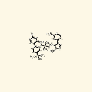 Cn1ncc(-c2nccc(N)n2)c1OCC(C)(C)CNc1cc(Cl)ncc1-c1ccc(C(C)(O)C(F)(F)F)cn1